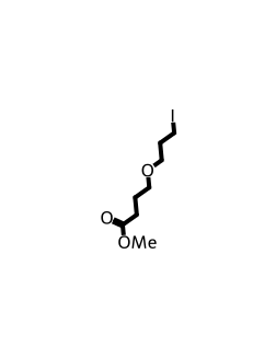 COC(=O)CCCOCCCI